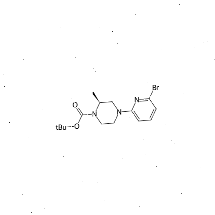 C[C@H]1CN(c2cccc(Br)n2)CCN1C(=O)OC(C)(C)C